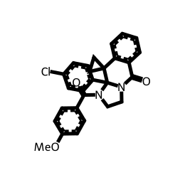 COc1ccc(C(=O)N2CCN3C(=O)c4ccccc4C4(CC4)C23c2ccc(Cl)cc2)cc1